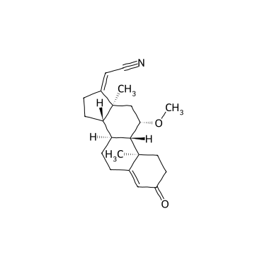 CO[C@H]1C[C@]2(C)/C(=C\C#N)CC[C@H]2[C@@H]2CCC3=CC(=O)CC[C@]3(C)[C@H]21